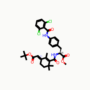 COC(=O)[C@H](Cc1ccc(NC(=O)c2c(Cl)cccc2Cl)cc1)NC(=O)C1=C(C)/C(=C/C(=O)OC(C)(C)C)CCC1(C)C